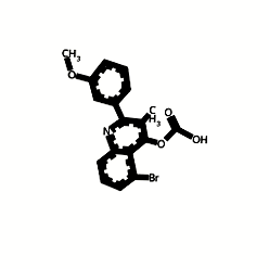 COc1cccc(-c2nc3cccc(Br)c3c(OC(=O)O)c2C)c1